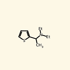 CCN(CC)C(C)c1cccs1